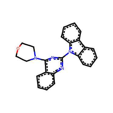 c1ccc2c(N3CCOCC3)nc(-n3c4ccccc4c4ccccc43)nc2c1